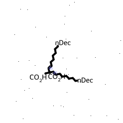 CCCCCCCCCCCCCCCC/C=C/C(/C=C/CCCCCCCCCCCCCCCC)(CC(=O)O)C(=O)O